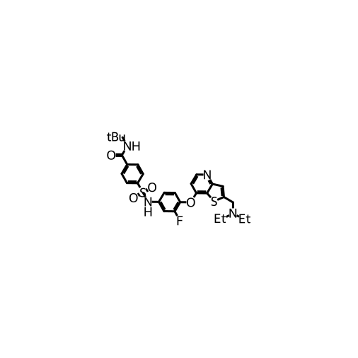 CCN(CC)Cc1cc2nccc(Oc3ccc(NS(=O)(=O)c4ccc(C(=O)NC(C)(C)C)cc4)cc3F)c2s1